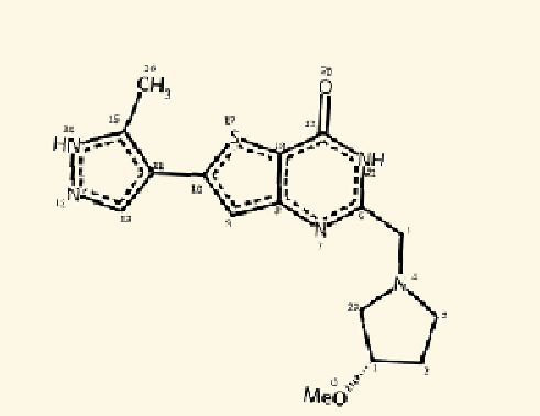 CO[C@H]1CCN(Cc2nc3cc(-c4cn[nH]c4C)sc3c(=O)[nH]2)C1